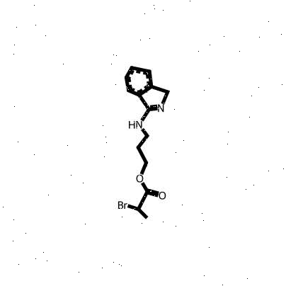 CC(Br)C(=O)OCCCNC1=NCc2ccccc21